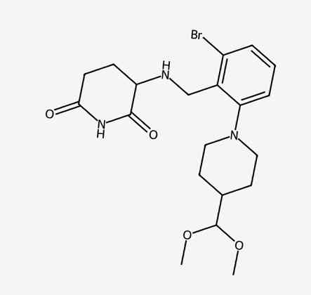 COC(OC)C1CCN(c2cccc(Br)c2CNC2CCC(=O)NC2=O)CC1